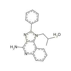 CC(C)Cn1c(-c2ccccc2)nc2c(N)nc3ccccc3c21.O